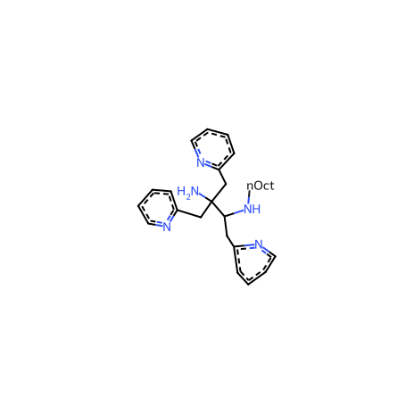 CCCCCCCCNC(Cc1ccccn1)C(N)(Cc1ccccn1)Cc1ccccn1